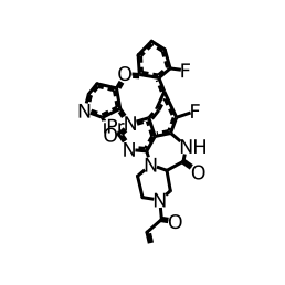 C=CC(=O)N1CCN2c3nc(=O)n4c5cc(c(F)c(c35)NC(=O)C2C1)c1c(F)cccc1oc1ccnc(C(C)C)c14